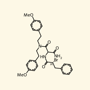 COc1ccc(CCN(CCc2ccc(OC)cc2)C(=O)C(NC(=O)[C@H](Br)Cc2ccccc2)C(N)=O)cc1